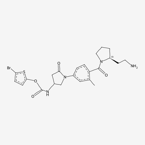 Cc1cc(N2CC(NC(=O)Oc3ccc(Br)s3)CC2=O)ccc1C(=O)N1CCC[C@H]1CCN